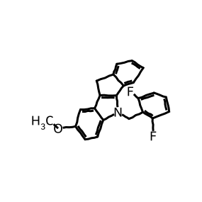 COc1ccc2c(c1)c1c(n2Cc2c(F)cccc2F)-c2ccccc2C1